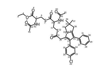 CCOC(=O)C(CSC(=O)C(CSC(=O)Cc1c(-c2ccc(Cl)cc2)c(-c2ccccc2)c2n1CC(C)(C)C2)NC(C)=O)NC(C)=O